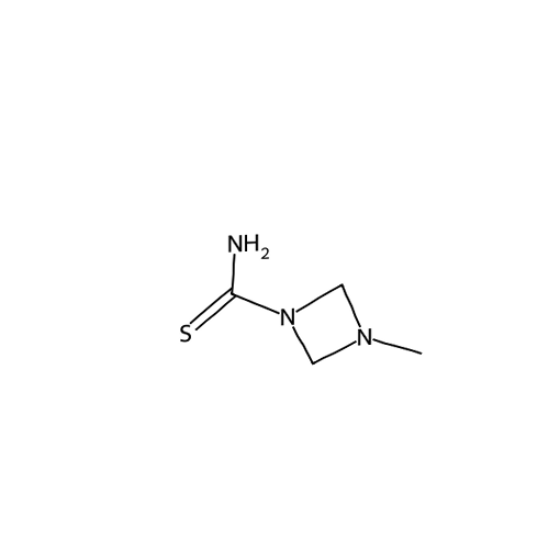 CN1CN(C(N)=S)C1